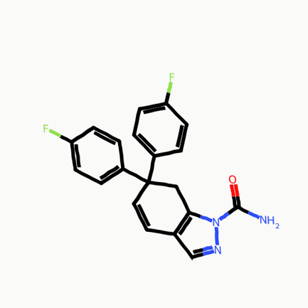 NC(=O)n1n[c]c2c1CC(c1ccc(F)cc1)(c1ccc(F)cc1)C=C2